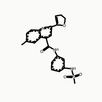 Cc1ccc2nc(C3=CCCO3)cc(C(=O)Nc3cccc(NS(C)(=O)=O)c3)c2c1